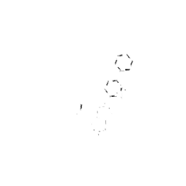 Cc1ccc(-c2ccc(N3CC4CNCC4C3OC(=O)C(F)(F)F)nn2)cc1